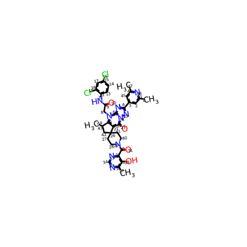 Cc1cc(-c2nc3n(CC(=O)Nc4ccc(Cl)cc4Cl)c4c(c(=O)n3n2)C2(CCN(C(=O)c3ncnc(C)c3O)CC2)CC4C)cc(C)n1